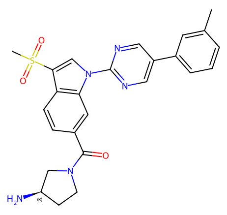 Cc1cccc(-c2cnc(-n3cc(S(C)(=O)=O)c4ccc(C(=O)N5CC[C@@H](N)C5)cc43)nc2)c1